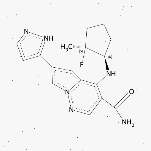 C[C@]1(F)CCC[C@H]1Nc1c(C(N)=O)cnn2cc(-c3ccn[nH]3)cc12